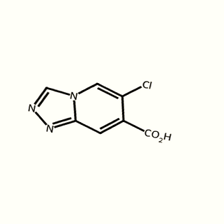 O=C(O)c1cc2nncn2cc1Cl